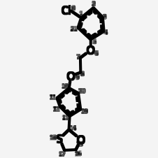 Clc1cccc(OCCOc2ccc(C3OCCS3)cc2)c1